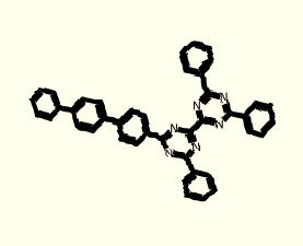 c1ccc(-c2ccc(-c3ccc(-c4nc(-c5ccccc5)nc(-c5nc(-c6ccccc6)nc(-c6ccccc6)n5)n4)cc3)cc2)cc1